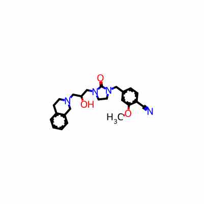 COc1cc(CN2CCN(CC(O)CN3CCc4ccccc4C3)C2=O)ccc1C#N